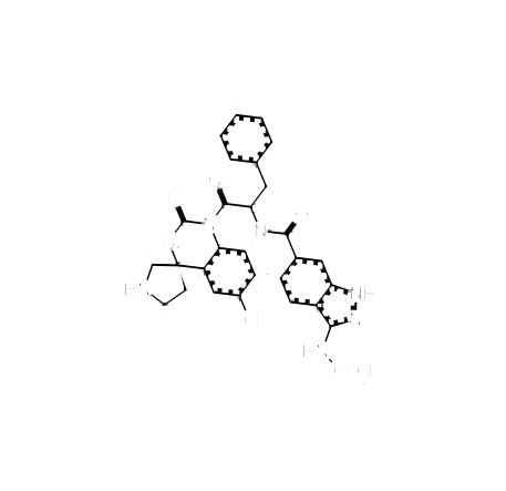 O=C(O)Nc1n[nH]c2cc(C(=O)NC(Cc3ccccc3)C(=O)N3C(=O)O[C@]4(CCNC4)c4cc(Cl)ccc43)ccc12